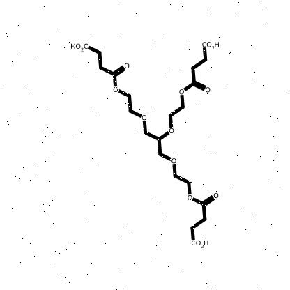 O=C(O)CCC(=O)OCCOCC(COCCOC(=O)CCC(=O)O)OCCOC(=O)CCC(=O)O